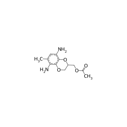 CC(=O)OCC1COc2c(N)c(C)cc(N)c2O1